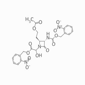 CC(=O)OCC[C@H]1[C@H](NC(=O)OCc2ccccc2[N+](=O)[O-])C(=O)N1C(O)C(=O)OCc1ccccc1[N+](=O)[O-]